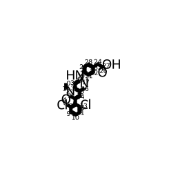 CCn1c(=O)c(-c2c(Cl)cccc2Cl)cc2cnc(Nc3ccc(CC(=O)O)cc3)cc21